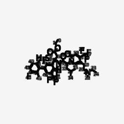 CCOC(=O)C[C@@]([SiH3])(NC(=O)C(CC(C)C)n1cc(CCN(C)CC)c(C(F)(F)F)cc1=O)c1c(F)c(-c2c(C)ccc(F)c2C)cc(C(F)(F)F)c1F